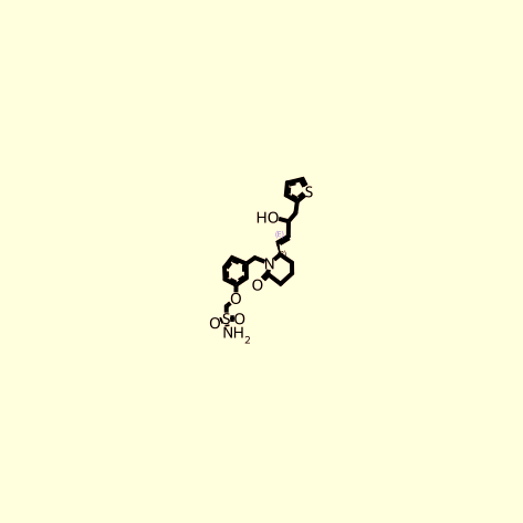 NS(=O)(=O)COc1cccc(CN2C(=O)CCC[C@@H]2/C=C/C(O)Cc2cccs2)c1